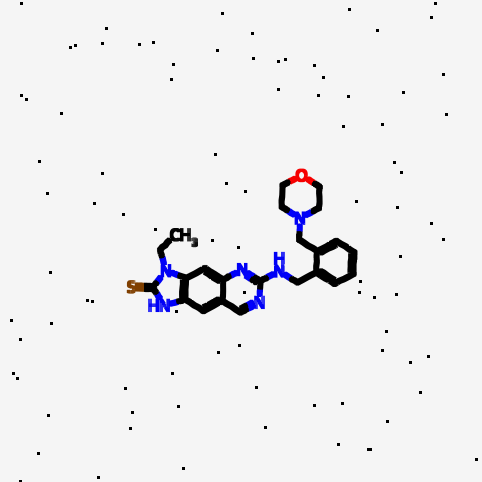 CCn1c(=S)[nH]c2cc3cnc(NCc4ccccc4CN4CCOCC4)nc3cc21